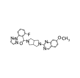 COc1ccc2cnc(N3CC4CN(C(=O)c5c(F)cccc5-n5nccn5)CC4C3)nc2c1